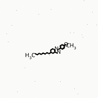 CCCCCCCCCC1CCc2nc(-c3ccc(OC)cc3)ncc2C1